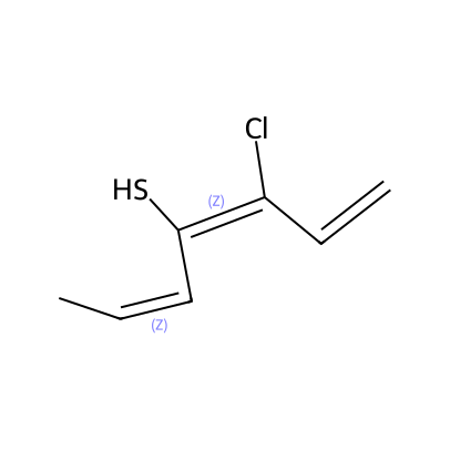 C=C/C(Cl)=C(S)\C=C/C